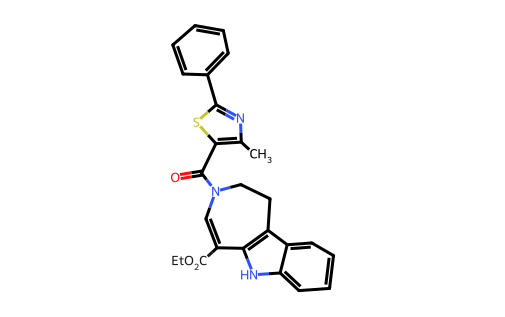 CCOC(=O)C1=CN(C(=O)c2sc(-c3ccccc3)nc2C)CCc2c1[nH]c1ccccc21